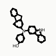 Oc1ccc(N(c2ccc3c(c2)Cc2ccccc2-3)c2ccc3[nH]c4ccccc4c3c2)cc1